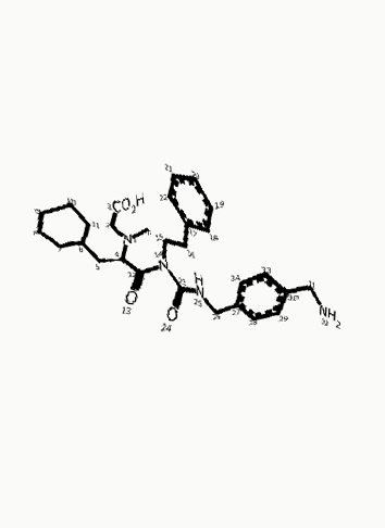 CN(CC(=O)O)[C@H](CC1CCCCC1)C(=O)N(CCc1ccccc1)C(=O)NCc1ccc(CN)cc1